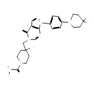 CN(C)C(=O)N1CCC(O)(Cn2cnc3c(cnn3-c3ccc(N4CCC(C)(O)CC4)cc3)c2=O)CC1